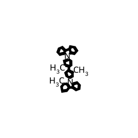 Cc1cc(-n2c3c(c4ccccc42)C=CCC3C)ccc1-c1ccc(-n2c3ccccc3c3ccccc32)cc1C